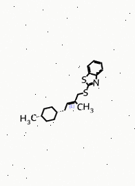 C/C(=C\C[C@H]1CC[C@@H](C)CC1)CSc1nc2ccccc2s1